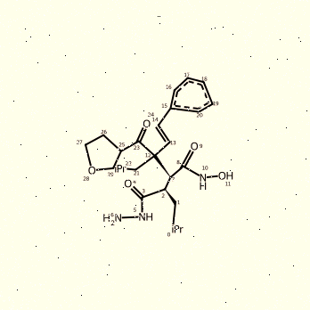 CC(C)C[C@@H](C(=O)NN)[C@H](C(=O)NO)C(/C=C/c1ccccc1)(CC(C)C)C(=O)C1CCOC1